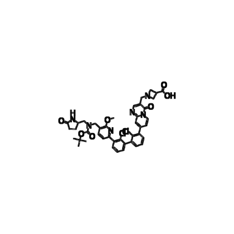 COc1nc(-c2cccc(-c3cccc(-c4ccn5c(=O)c(CN6CC(C(=O)O)C6)cnc5c4)c3Cl)c2Cl)ccc1CN(CC1CCC(=O)N1)C(=O)OC(C)(C)C